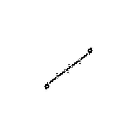 Cc1ccc(OCCCCCCOC(=O)CCCCCOC(=O)CCC(=O)OCCCCCC(=O)OCCCCCCOc2ccc(C)cc2)cc1